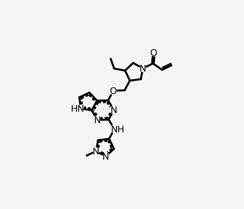 C=CC(=O)N1CC(CC)C(COc2nc(Nc3cnn(C)c3)nc3[nH]ccc23)C1